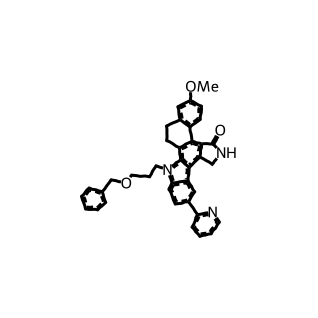 COc1ccc2c(c1)CCc1c-2c2c(c3c4cc(-c5ccccn5)ccc4n(CCCOCc4ccccc4)c13)CNC2=O